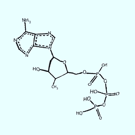 CC1C(COP(=O)(O)OP(=O)(O)OP(=O)(O)O)OC(n2cnc3c(N)ncnc32)C1O